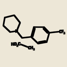 CC(=O)O.FC(F)(F)c1ccc(CN2CCCCC2)cc1